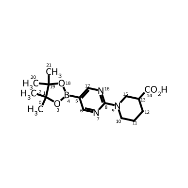 CC1(C)OB(c2cnc(N3CCCC(C(=O)O)C3)nc2)OC1(C)C